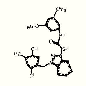 COc1cc(NC(=O)Nc2nn(Cc3cc(O)c(O)cc3Cl)c3ccccc23)cc(OC)c1